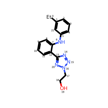 CCc1cccc(Nc2ccccc2-c2nnn(CCO)n2)c1